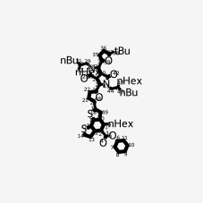 CCCCCCc1c(C(=O)Oc2ccccc2)c2ccsc2c2sc(-c3ccc(C4=C5C(=O)N(CC(CCCC)CCCCCC)C(c6ccc(C(C)(C)C)o6)=C5C(=O)N4CC(CCCC)CCCCCC)o3)cc12